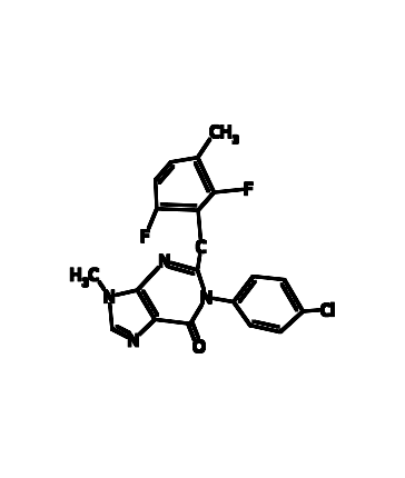 Cc1ccc(F)c(Cc2nc3c(ncn3C)c(=O)n2-c2ccc(Cl)cc2)c1F